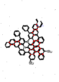 C=C/C=C(\C=C/C)c1cccc(-c2cccc(-c3cccc(-c4ccccc4)c3)c2N2c3cc(-c4ccccc4)c(-c4ccccc4)cc3B3c4cc(-c5ccccc5)c(-c5ccccc5)cc4N(c4c(-c5cccc(-c6ccccc6)c5)cccc4-c4cccc(-c5ccccc5)c4)c4cc(N(c5ccc(C(C)(C)C)cc5)c5ccc(C(C)(C)C)cc5)cc2c43)c1